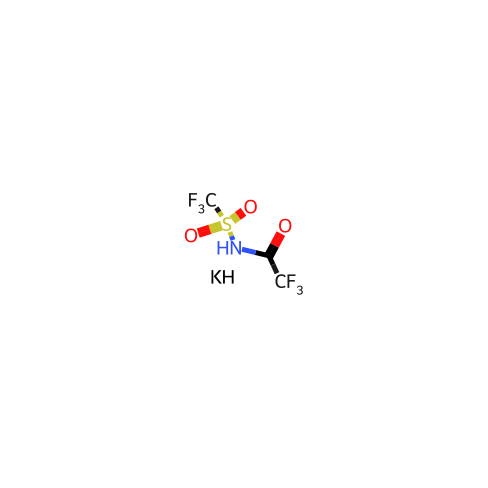 O=C(NS(=O)(=O)C(F)(F)F)C(F)(F)F.[KH]